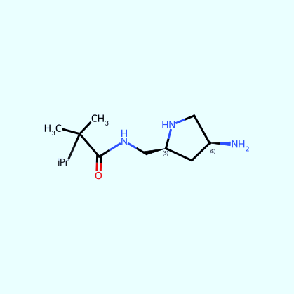 CC(C)C(C)(C)C(=O)NC[C@@H]1C[C@H](N)CN1